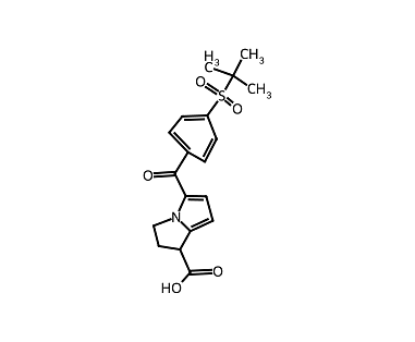 CC(C)(C)S(=O)(=O)c1ccc(C(=O)c2ccc3n2CCC3C(=O)O)cc1